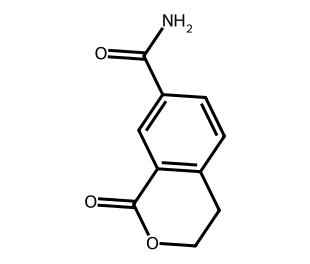 NC(=O)c1ccc2c(c1)C(=O)OCC2